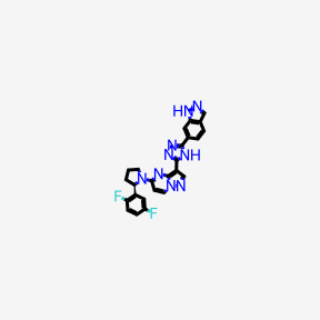 Fc1ccc(F)c([C@H]2CCCN2c2ccn3ncc(-c4nnc(-c5ccc6cn[nH]c6c5)[nH]4)c3n2)c1